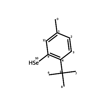 Cc1ccc(C(C)(C)C)c([SeH])c1